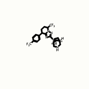 FC(F)(F)c1ccc(C2CCC(C(F)(F)F)n3nc(N4[C@H]5[C@H]6CC[C@]54CNC6)nc32)cc1